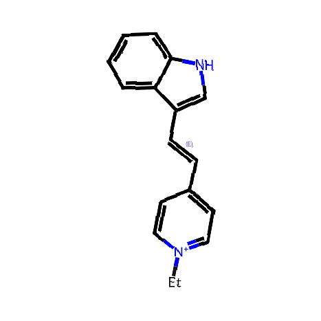 CC[n+]1ccc(/C=C/c2c[nH]c3ccccc23)cc1